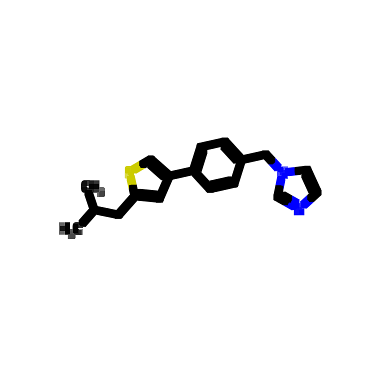 CC(C)Cc1cc(-c2ccc(Cn3ccnc3)cc2)cs1